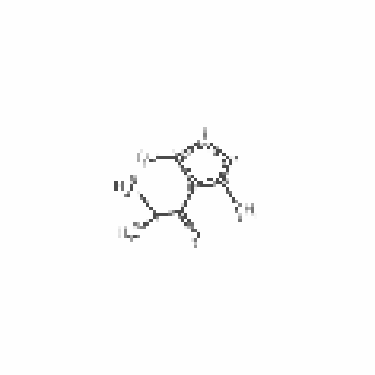 Cc1csc(C)c1C(=O)C(C)C